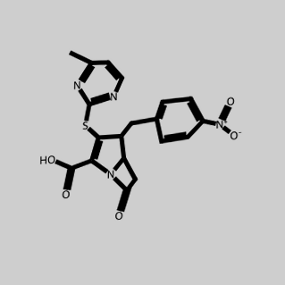 Cc1ccnc(SC2=C(C(=O)O)N3C(=O)CC3C2Cc2ccc([N+](=O)[O-])cc2)n1